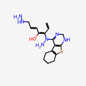 C=C/C(=C(O)\C=C\CNN)N(N)C1=NCNc2sc3c(c21)CCCC3